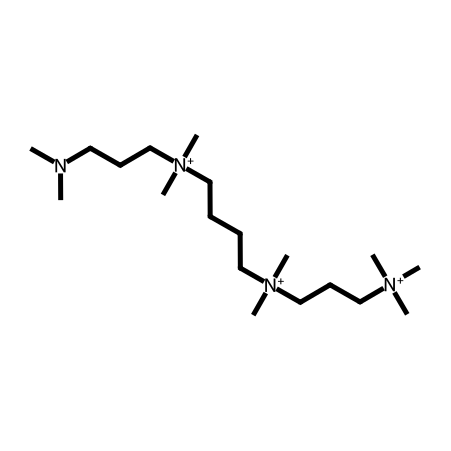 CN(C)CCC[N+](C)(C)CCCC[N+](C)(C)CCC[N+](C)(C)C